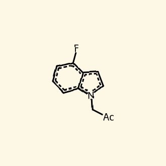 CC(=O)Cn1ccc2c(F)cccc21